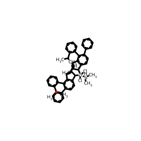 CC1=Cc2c(ccc(-c3ccccc3)c2-c2ccccc2C(C)C)[CH]1[Zr]([Cl])([Cl])([CH]1C(C)=Cc2c1ccc(-c1ccccc1)c2-c1ccccc1C(C)C)[SiH](C)C